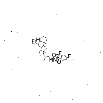 CC[C@H]1CC2C3CC[C@H]([C@H](C)CCC(=O)NS(=O)(=O)c4ccc(F)cc4F)[C@@]3(C)CCC2[C@@]2(C)CCCC[C@@H]12